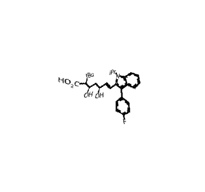 CC(C)n1c(C=C[C@@H](O)C[C@@H](O)C(C(=O)O)C(C)(C)C)c(-c2ccc(F)cc2)c2ccccc21